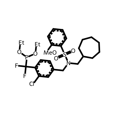 CCOP(OCC)C(F)(F)c1ccc(CN(CC2CCCCCC2)S(=O)(=O)c2ccccc2OC)cc1Cl